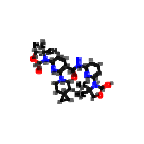 CC1(C)COC(=O)N1c1cccc(NC(=O)c2ccc(N3C(=O)OCC3(C)C)nc2N2CCC3(CC2)CC3)n1